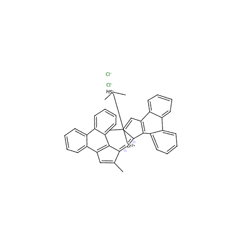 CC1=Cc2c(c3ccccc3c3ccccc23)/[C]1=[Zr+2](=[C]1/C(C)=Cc2c1c1ccccc1c1ccccc21)\[SiH](C)C.[Cl-].[Cl-]